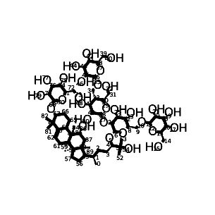 C[C@H](CC[C@@H](O[C@@H]1O[C@H](COC2O[C@H](CO)[C@@H](O)[C@H](O)[C@H]2O)[C@@H](O)[C@H](O)[C@H]1O[C@@H]1O[C@H](CO)[C@@H](CO[C@H]2O[C@H](CO)[C@@H](O)[C@H](O)[C@H]2O)[C@H](O)[C@H]1O)C(C)(C)O)C1CC[C@@]2(C)C3CC=C4C(CC[C@H](O[C@@H]5O[C@H](CO)[C@@H](O)[C@H](O)[C@H]5O)C4(C)C)[C@]3(C)[C@H](O)C[C@]12C